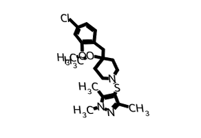 COc1cc(Cl)ccc1CC1(OC)CCN(Sc2c(C)nn(C)c2C)CC1